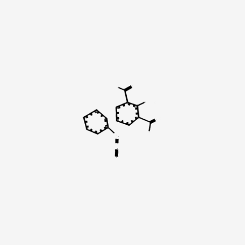 Cc1c(C(=O)O)cccc1C(=O)O.S=C=Nc1ccccc1